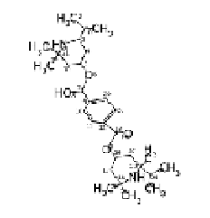 CC(C)C1CC(OC(O)c2ccc(C(=O)OC3CC(C)(C)NC(C)(C(C)C)C3)cc2)CC(C)(C)N1